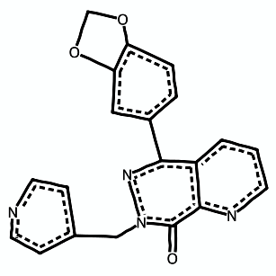 O=c1c2ncccc2c(-c2ccc3c(c2)OCO3)nn1Cc1ccncc1